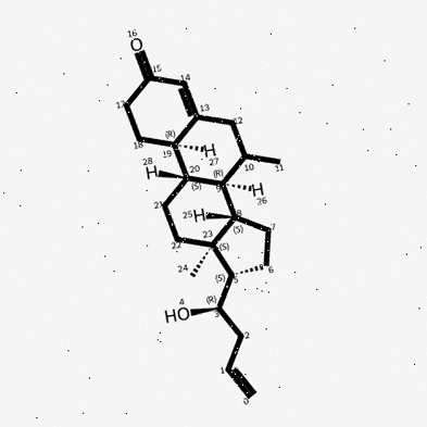 C=CC[C@@H](O)[C@H]1CC[C@H]2[C@@H]3C(C)CC4=CC(=O)CC[C@@H]4[C@H]3CC[C@]12C